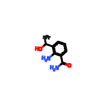 CCCC(O)c1cccc(C(N)=O)c1N